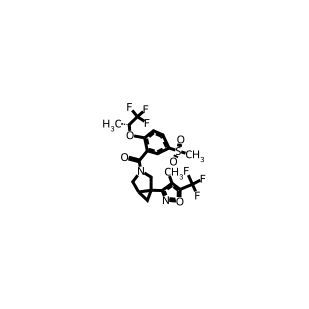 Cc1c(C23CC2CN(C(=O)c2cc(S(C)(=O)=O)ccc2O[C@H](C)C(F)(F)F)C3)noc1C(F)(F)F